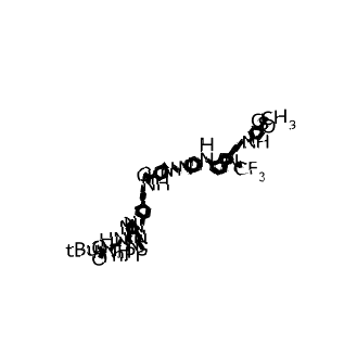 CCCSc1nc(NCCNC(=O)OC(C)(C)C)c2nnn(Cc3ccc(C#CCNC(=O)C4CCN(CCN5CCC(Nc6cccc7c6cc(C#CCNc6ccc(S(C)(=O)=O)cc6)n7CC(F)(F)F)CC5)CC4)cc3)c2n1